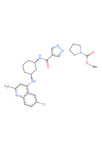 CC(C)(C)OC(=O)N1CC[C@@H](n2cc(C(=O)N[C@@H]3CCC[C@H](Nc4cc(C(F)(F)F)nc5ccc(Cl)cc45)C3)cn2)C1